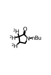 [2H]C1CN(CCCC)C(=O)C1([2H])[2H]